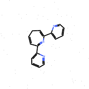 C1=CC(c2ccccn2)=NC(c2ccccn2)=CC1